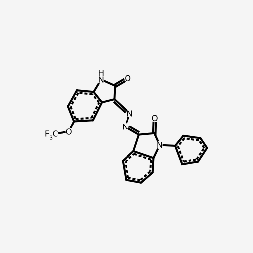 O=C1Nc2ccc(OC(F)(F)F)cc2C1=NN=C1C(=O)N(c2ccccc2)c2ccccc21